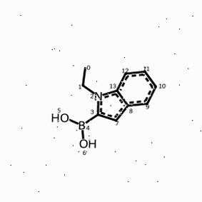 CCn1c(B(O)O)cc2ccccc21